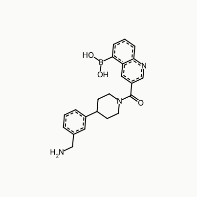 NCc1cccc(C2CCN(C(=O)c3cnc4cccc(B(O)O)c4c3)CC2)c1